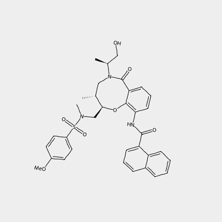 COc1ccc(S(=O)(=O)N(C)C[C@@H]2Oc3c(NC(=O)c4cccc5ccccc45)cccc3C(=O)N([C@@H](C)CO)C[C@H]2C)cc1